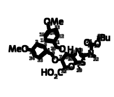 COc1ccc(CO[C@H]2[C@H](OCc3ccc(OC)cc3)[C@H]3N=C(N(C)C(=O)OC(C)(C)C)S[C@@]3(C)O[C@@H]2C(=O)O)cc1